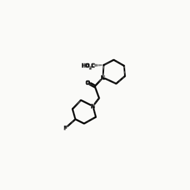 O=C(O)[C@@H]1CCCCN1C(=O)CN1CCC(F)CC1